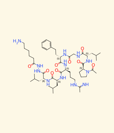 CC(=N)NCCC[C@H](NC(=O)[C@H](CCc1ccccc1)NC(=O)CNC(=O)[C@H](CC(C)C)NC(=O)[C@@H]1CCCN1C(C)=O)C(=O)N[C@@H](CC(C)C)C(=O)N[C@H](CC(C)C)C(=O)NNC(=O)CCCCCN